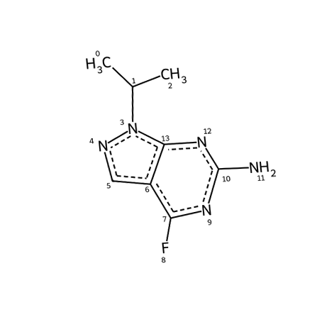 CC(C)n1ncc2c(F)nc(N)nc21